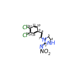 O=[N+]([O-])N=C1NCCN1C=Cc1ccc(Cl)c(Cl)c1